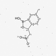 Cc1ccc2c(c1)B(O)OC2C[N+](=O)[O-]